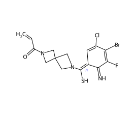 C=CC(=O)N1CC2(C1)CN(/C(S)=C1\C=C(Cl)C(Br)=C(F)C1=N)C2